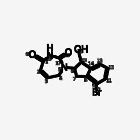 O=C1C=CCN(C2Cc3c(Br)cccc3C2O)C(=O)N1